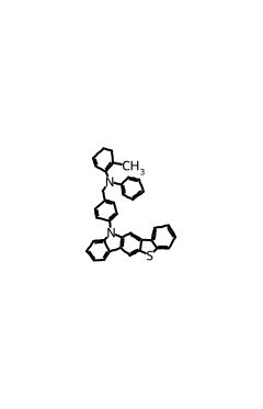 CC1=C(N(Cc2ccc(-n3c4ccccc4c4cc5sc6ccccc6c5cc43)cc2)c2ccccc2)C=CCC1